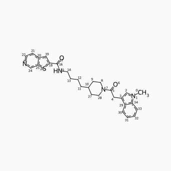 Cn1cc(CC(=O)N2CCC(CCCCNC(=O)c3cc4ccncc4s3)CC2)c2ccccc21